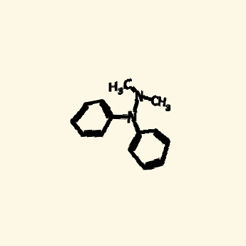 CN(C)N(c1ccccc1)c1ccccc1